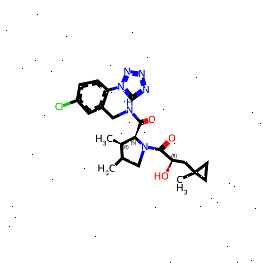 CC1CN(C(=O)[C@H](O)CC2(C)CC2)[C@H](C(=O)NCc2cc(Cl)ccc2-n2cnnn2)[C@@H]1C